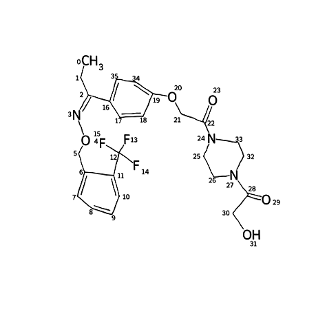 CCC(=NOCc1ccccc1C(F)(F)F)c1ccc(OCC(=O)N2CCN(C(=O)CO)CC2)cc1